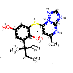 Cc1cc(Sc2cc(O)cc(C(C)(C)CC(C)(C)C)c2O)n2ncnc2n1